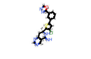 C[C@@]1(c2sc(-c3cccc(-c4nnco4)c3)cc2Cl)Cc2ncncc2C(=N)N1